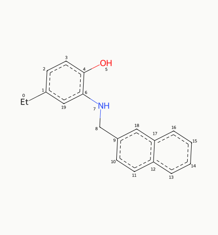 CCc1ccc(O)c(NCc2ccc3ccccc3c2)c1